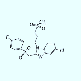 CS(=O)(=O)CCCn1c(CS(=O)(=O)c2ccc(F)cc2)nc2cc(Cl)ccc21